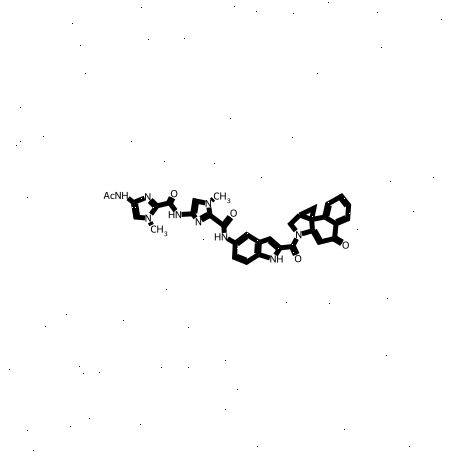 CC(=O)Nc1cn(C)c(C(=O)Nc2cn(C)c(C(=O)Nc3ccc4[nH]c(C(=O)N5CC6CC67C5=CC(=O)c5ccccc57)cc4c3)n2)n1